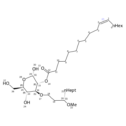 CCCCCC/C=C\CCCCCCCCCC(=O)O[C@@H]1[C@@H](OCC[C@H](CCCCCCC)OC)[C@H](O)[C@@H](CO)O[C@@H]1O